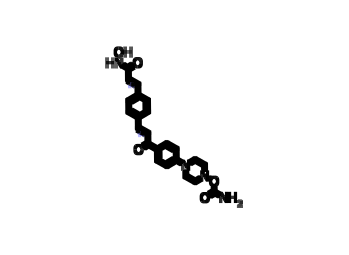 NC(=O)ON1CCN(c2ccc(C(=O)/C=C/c3ccc(/C=C/C(=O)NO)cc3)cc2)CC1